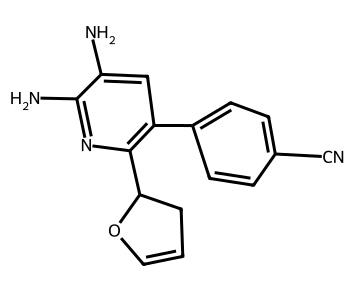 N#Cc1ccc(-c2cc(N)c(N)nc2C2CC=CO2)cc1